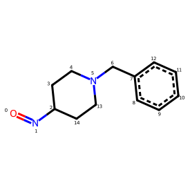 O=NC1CCN(Cc2ccccc2)CC1